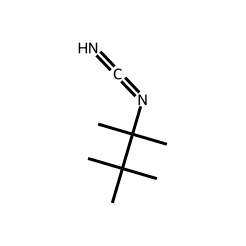 CC(C)(C)C(C)(C)N=C=N